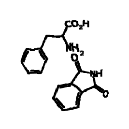 NC(Cc1ccccc1)C(=O)O.O=C1NC(=O)c2ccccc21